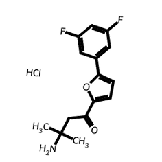 CC(C)(N)CC(=O)c1ccc(-c2cc(F)cc(F)c2)o1.Cl